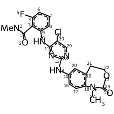 CNC(=O)c1c(F)cccc1Nc1nc(Nc2ccc3c(c2)CCOC(=O)N3C)ncc1Cl